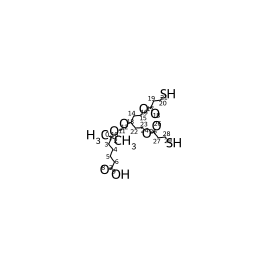 CC(C)(CCCCC(=O)O)OCOC(CCOC(=O)CCS)CCOC(=O)CCS